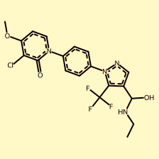 CCNC(O)c1cnn(-c2ccc(-n3ccc(OC)c(Cl)c3=O)cc2)c1C(F)(F)F